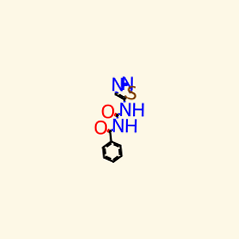 O=C(NC(=O)c1ccccc1)Nc1cnns1